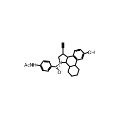 C#CC1CN([S+]([O-])c2ccc(NC(C)=O)cc2)C2C3CCCCC3c3cc(O)ccc3C12